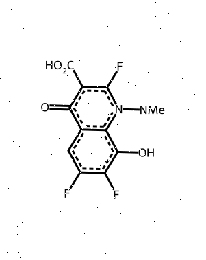 CNn1c(F)c(C(=O)O)c(=O)c2cc(F)c(F)c(O)c21